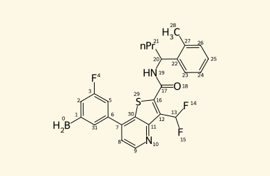 Bc1cc(F)cc(-c2ccnc3c(C(F)F)c(C(=O)NC(CCC)c4ccccc4C)sc23)c1